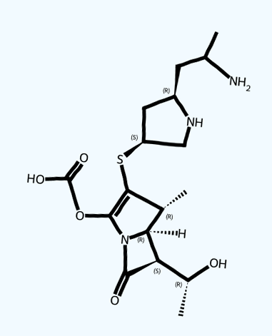 CC(N)C[C@@H]1C[C@H](SC2=C(OC(=O)O)N3C(=O)[C@H]([C@@H](C)O)[C@@H]3[C@H]2C)CN1